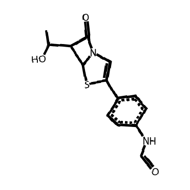 CC(O)C1C(=O)N2C=C(c3ccc(NC=O)cc3)SC12